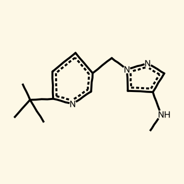 CNc1cnn(Cc2ccc(C(C)(C)C)nc2)c1